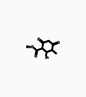 COC(=O)C1C(=O)CC(=O)C(C)C1C(C)C